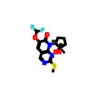 CSc1ncc2cc(OC(F)F)c(=O)n([C@@H]3CCC[C@@]3(C)O)c2n1